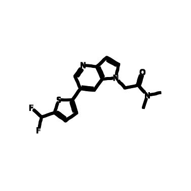 CN(C)C(=O)Cn1ccc2ncc(-c3ccc(C(F)F)s3)cc21